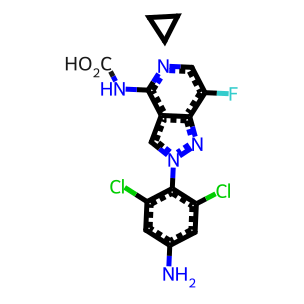 C1CC1.Nc1cc(Cl)c(-n2cc3c(NC(=O)O)ncc(F)c3n2)c(Cl)c1